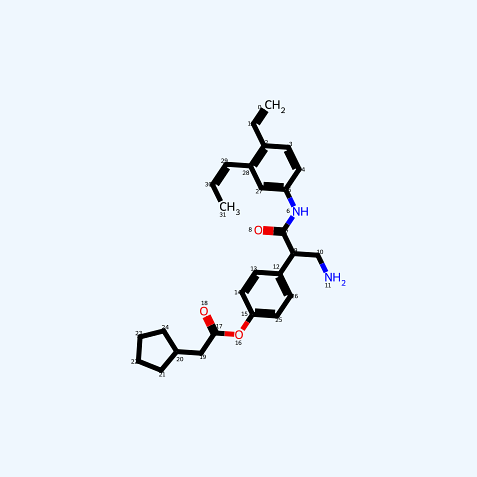 C=Cc1ccc(NC(=O)C(CN)c2ccc(OC(=O)CC3CCCC3)cc2)cc1/C=C\C